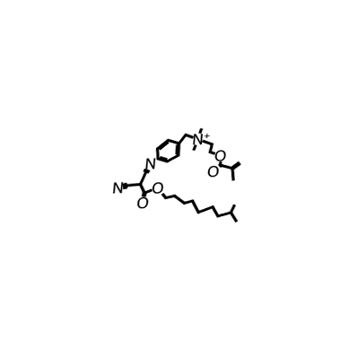 C=C(C)C(=O)OCC[N+](C)(C)Cc1ccccc1.CC(C)CCCCCCCOC(=O)C(C#N)C#N